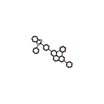 c1ccc(-c2cc(-c3ccccc3)c3c(ccc4cc(-c5ccc(-c6nc7ccccc7n6-c6ccccc6)cc5)cc(-c5ccccc5)c43)c2)cc1